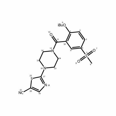 CC(C)COc1ccc(S(C)(=O)=O)cc1C(=O)N1CCN(c2ncc(C#N)s2)CC1